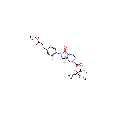 COC(=O)CCc1ccc(N2C[C@@H]3CN(C(=O)OC(C)(C)C)CCN3C2=O)c(F)c1